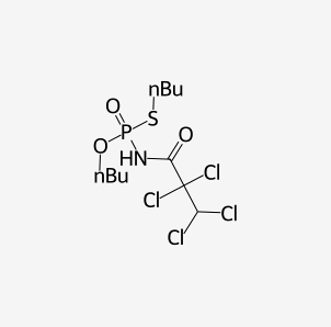 CCCCOP(=O)(NC(=O)C(Cl)(Cl)C(Cl)Cl)SCCCC